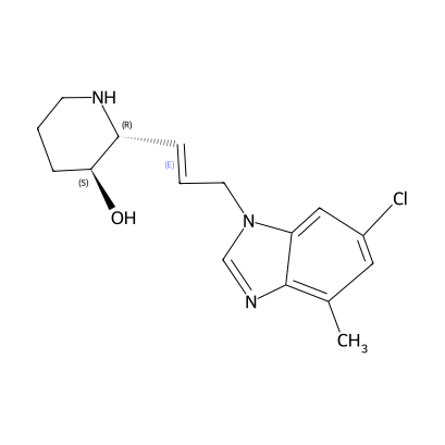 Cc1cc(Cl)cc2c1ncn2C/C=C/[C@H]1NCCC[C@@H]1O